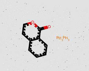 O=c1occc2ccccc12.P.P